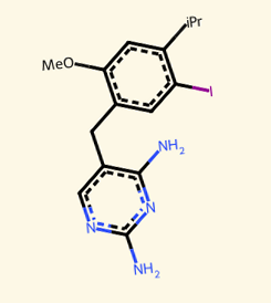 COc1cc(C(C)C)c(I)cc1Cc1cnc(N)nc1N